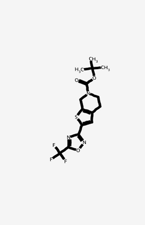 CC(C)(C)OC(=O)N1CCc2cc(-c3noc(C(F)(F)F)n3)sc2C1